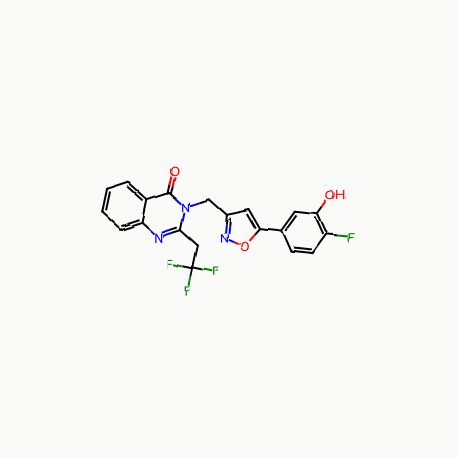 O=c1c2ccccc2nc(CC(F)(F)F)n1Cc1cc(-c2ccc(F)c(O)c2)on1